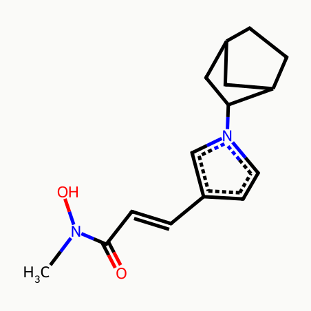 CN(O)C(=O)C=Cc1ccn(C2CC3CCC2C3)c1